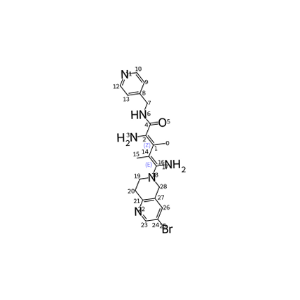 CC(=C(/N)C(=O)NCc1ccncc1)/C(C)=C(\N)N1CCc2ncc(Br)cc2C1